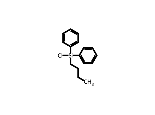 CCCC[Si](Cl)(c1ccccc1)c1ccccc1